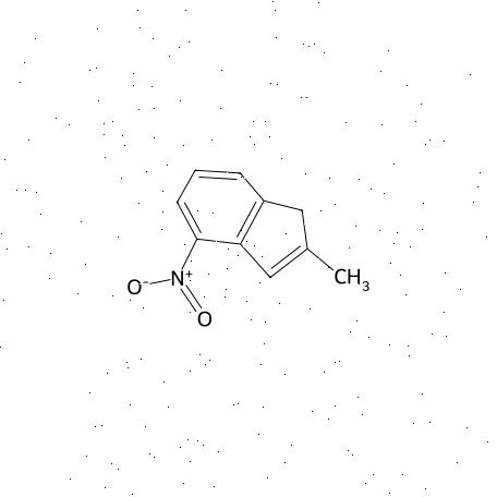 CC1=Cc2c(cccc2[N+](=O)[O-])C1